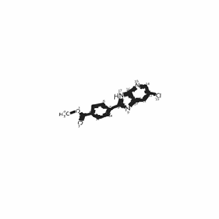 COC(=O)c1ccc(-c2nc3cc(Cl)cnc3[nH]2)cc1